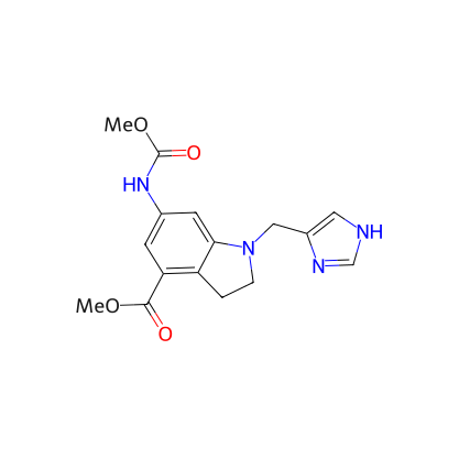 COC(=O)Nc1cc(C(=O)OC)c2c(c1)N(Cc1c[nH]cn1)CC2